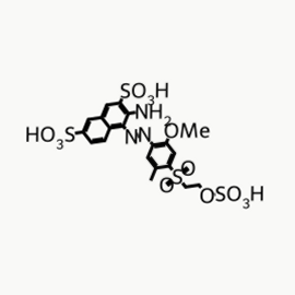 COc1cc(S(=O)(=O)CCOS(=O)(=O)O)c(C)cc1/N=N/c1c(N)c(S(=O)(=O)O)cc2cc(S(=O)(=O)O)ccc12